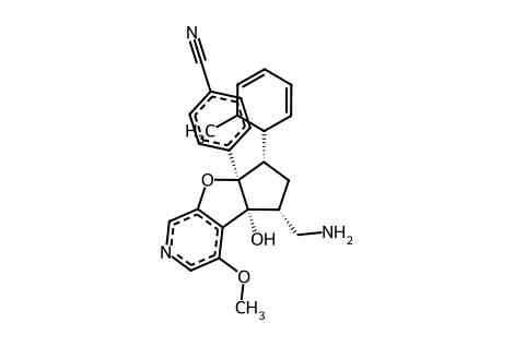 COc1cncc2c1[C@]1(O)[C@@H](CN)C[C@@H](C3C=CC=CC3C)[C@]1(c1ccc(C#N)cc1)O2